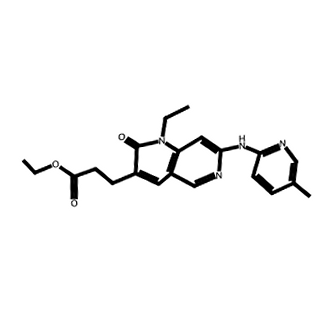 CCOC(=O)CCc1cc2cnc(Nc3ccc(C)cn3)cc2n(CC)c1=O